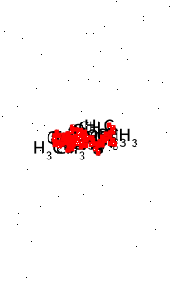 Cc1ccc(C)c(-c2cc3c(c4c2sc2ccccc24)-c2ccc(N(c4ccccc4)c4ccc5c(c4)C(C)(C)c4cc(-c6cc(C)ccc6C)c6sc7c(-c8cccc(-c9ccccc9N(c9cc%10c(c%11ccccc9%11)-c9c(ccc%11oc%12ccccc%12c9%11)C%10(C)C)c9cc%10c(c%11ccccc9%11)-c9c(ccc%11oc%12ccccc%12c9%11)C%10(C)C)c8)cccc7c6c4-5)cc2C3(C)C)c1